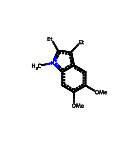 CCc1c(CC)n(C)c2cc(OC)c(OC)cc12